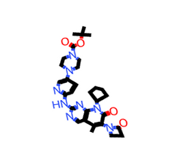 Cc1c(N2CCC2=O)c(=O)n(C2CCCC2)c2nc(Nc3ccc(N4CCN(C(=O)OC(C)(C)C)CC4)cn3)ncc12